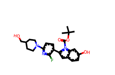 CC(C)(C)OC(=O)n1c(-c2ccc(N3CCC(CO)CC3)nc2F)cc2ccc(O)cc21